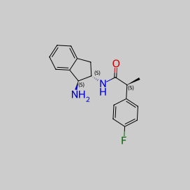 C[C@H](C(=O)N[C@H]1Cc2ccccc2[C@@H]1N)c1ccc(F)cc1